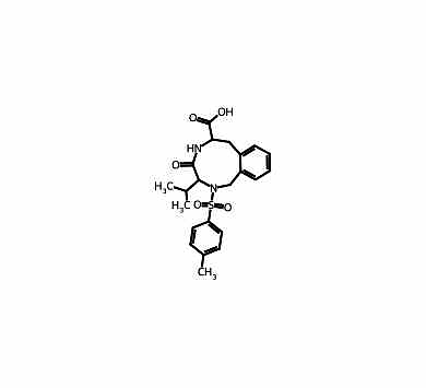 Cc1ccc(S(=O)(=O)N2Cc3ccccc3CC(C(=O)O)NC(=O)C2C(C)C)cc1